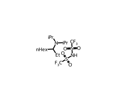 CCCCCCC(CC)N(C(C)C)C(C)C.O=S(=O)(NS(=O)(=O)C(F)(F)F)C(F)(F)F